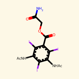 CC(=O)Nc1c(I)c(NC(C)=O)c(I)c(C(=O)OCC(N)=O)c1I